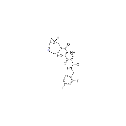 O=C(NCc1ccc(F)cc1F)c1c[nH]c(C(=O)N2CC/C=C\C3C[C@@H]3C2)c(O)c1=O